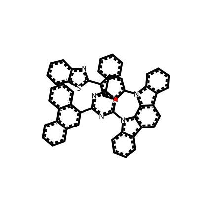 c1ccc(-c2nc(-c3cc4ccccc4c4ccccc34)nc(-n3c4ccccc4c4ccc5c6ccccc6n(-c6ccc(-c7nc8ccccc8s7)cc6)c5c43)n2)cc1